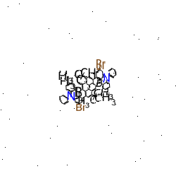 CC(C)(C)c1cc2c3c(cc4c(C(C)(C)C)cc5c6c(cc1c3c46)B1c3ccccc3N(c3ccccc3)c3cc(Br)cc-5c31)B1c3ccccc3N(c3ccccc3)c3cc(Br)cc-2c31